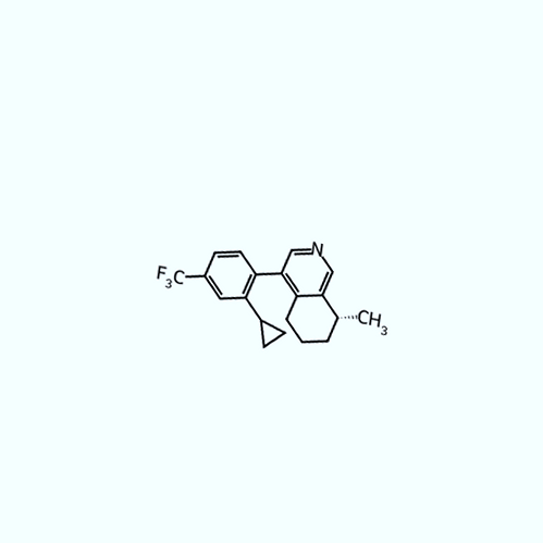 C[C@@H]1CCCc2c(-c3ccc(C(F)(F)F)cc3C3CC3)cncc21